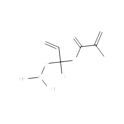 C=CC(CC)(OC(=O)C(=C)C)OP(O)O